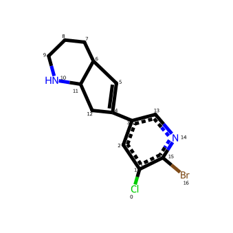 Clc1cc(C2=CC3CCCNC3C2)cnc1Br